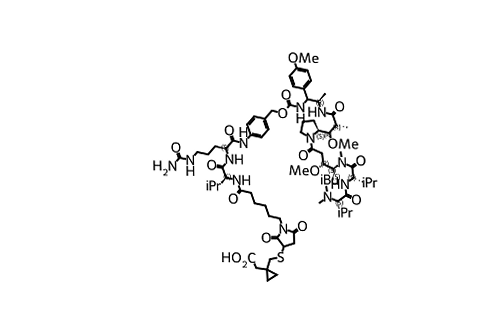 CC[C@H](C)[C@@H]([C@@H](CC(=O)N1CCC[C@H]1[C@H](OC)[C@@H](C)C(=O)N[C@H](C)C(NC(=O)OCc1ccc(NC(=O)[C@H](CCCNC(N)=O)NC(=O)[C@@H](NC(=O)CCCCCN2C(=O)CC(SCC3(CC(=O)O)CC3)C2=O)C(C)C)cc1)c1ccc(OC)cc1)OC)N(C)C(=O)[C@@H](NC(=O)[C@H](C(C)C)N(C)C)C(C)C